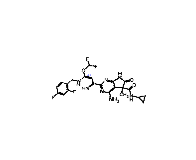 CC1(C(=O)NC2CC2)C(=O)Nc2nc(C(=N)/C=C(\NCc3ccc(F)cc3F)OC(F)F)nc(N)c21